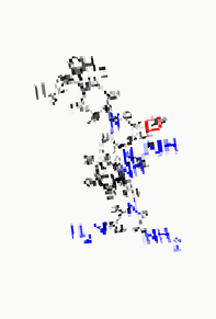 CCC(NCCN(CCN)CCN)[C@@H]1CN(C2CCC(C(C)C)CC2)CC[C@@]12C(=O)NCN2c1ccccc1